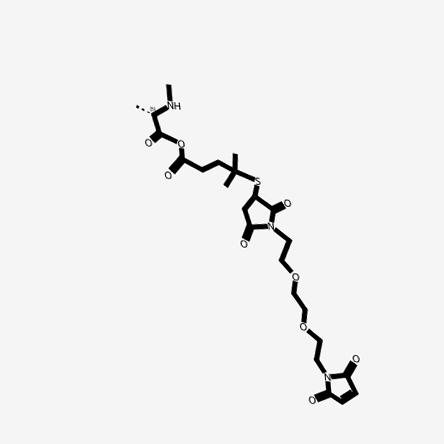 CN[C@@H](C)C(=O)OC(=O)CCC(C)(C)SC1CC(=O)N(CCOCCOCCN2C(=O)C=CC2=O)C1=O